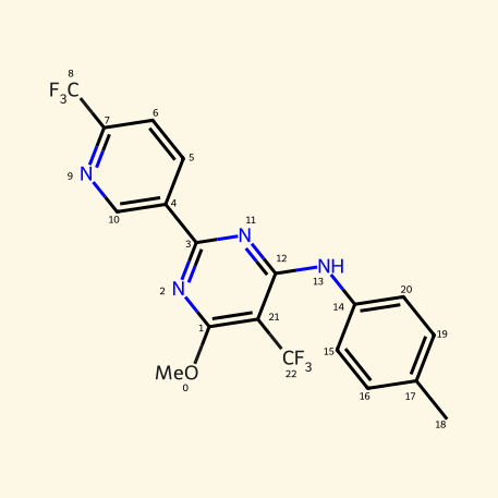 COc1nc(-c2ccc(C(F)(F)F)nc2)nc(Nc2ccc(C)cc2)c1C(F)(F)F